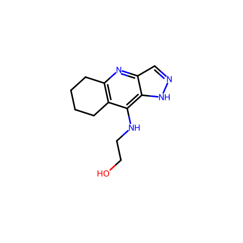 OCCNc1c2c(nc3cn[nH]c13)CCCC2